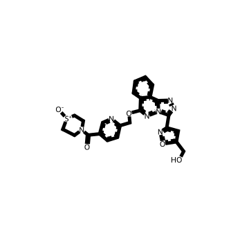 O=C(c1ccc(COc2nn3c(-c4cc(CO)on4)nnc3c3ccccc23)nc1)N1CC[S+]([O-])CC1